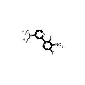 CN(C)c1ccnc(-c2ccc(F)c([N+](=O)[O-])c2F)c1